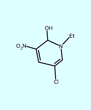 CCN1C=C(Cl)C=C([N+](=O)[O-])C1O